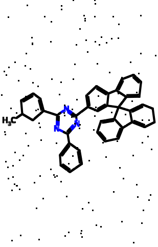 CC1C=CC=C(c2nc(-c3ccccc3)nc(-c3ccc4c(c3)C3(C5=CCCC=C5c5ccccc53)c3ccccc3-4)n2)C1